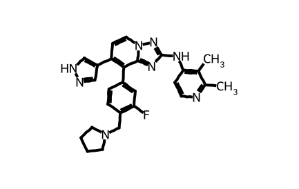 Cc1nccc(Nc2nc3c(-c4ccc(CN5CCCC5)c(F)c4)c(-c4cn[nH]c4)ccn3n2)c1C